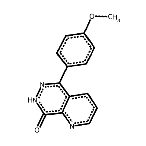 COc1ccc(-c2n[nH]c(=O)c3ncccc23)cc1